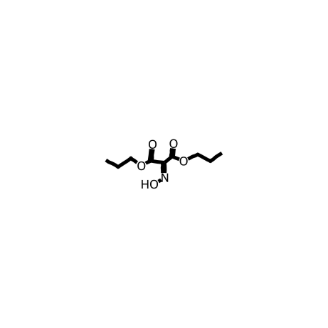 CCCOC(=O)C(=NO)C(=O)OCCC